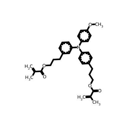 C=C(C)C(=O)OCCCc1ccc(N(c2ccc(OC)cc2)c2cccc(CCCOC(=O)C(=C)C)c2)cc1